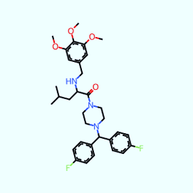 COc1cc(CNC(CC(C)C)C(=O)N2CCN(C(c3ccc(F)cc3)c3ccc(F)cc3)CC2)cc(OC)c1OC